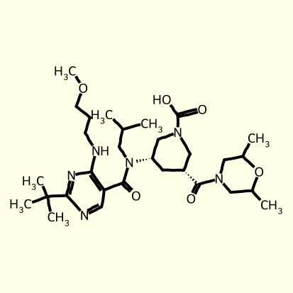 COCCCNc1nc(C(C)(C)C)ncc1C(=O)N(CC(C)C)[C@H]1C[C@@H](C(=O)N2CC(C)OC(C)C2)CN(C(=O)O)C1